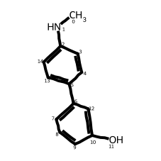 CNc1ccc(-c2cccc(O)c2)cc1